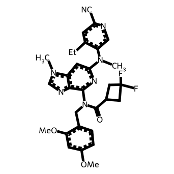 CCc1cc(C#N)ncc1N(C)c1cc2c(ncn2C)c(N(Cc2ccc(OC)cc2OC)C(=O)C2CC(F)(F)C2)n1